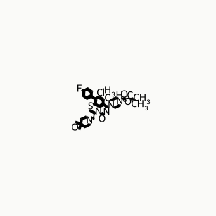 C[C@H]1CN(C(=O)OC(C)(C)C)CCN1c1nc(=O)n2c3c(c(-c4ccc(F)cc4)c(Cl)cc13)SC[C@@H]2CN1CCC2(CC1)COC2